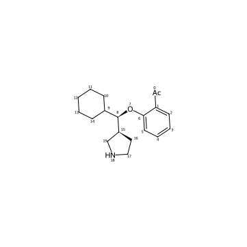 CC(=O)c1ccccc1O[C@H](C1CCCCC1)[C@H]1CCNC1